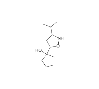 CC(C)C1CC(C2(O)CCCC2)ON1